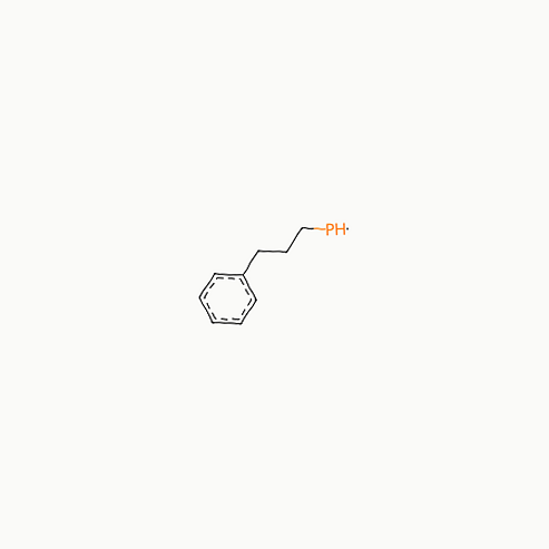 [PH]CCCc1ccccc1